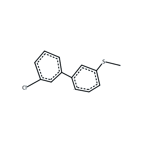 CSc1cc[c]c(-c2cccc(Cl)c2)c1